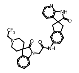 O=C(CN1C(=O)C2(CCN(CC(F)(F)F)CC2)c2ccccc21)Nc1ccc2c(c1)CC1(C2)C(=O)Nc2ncccc21